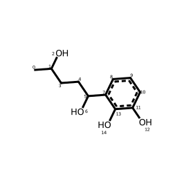 CC(O)CCC(O)c1cccc(O)c1O